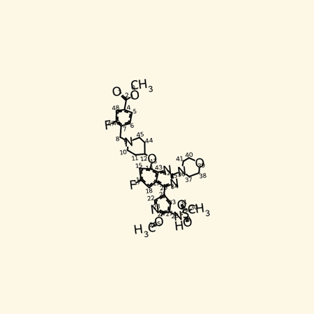 COC(=O)c1ccc(CN2CCC(Oc3cc(F)cc4c(-c5cnc(OC)c(NS(C)(=O)=O)c5)nc(N5CCOCC5)nc34)CC2)c(F)c1